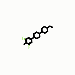 CCC1CCC(C2CCC(c3cc(F)c(C)c(F)c3)CC2)CC1